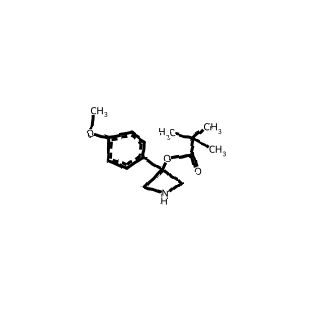 COc1ccc(C2(OC(=O)C(C)(C)C)CNC2)cc1